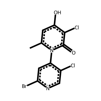 Cc1cc(O)c(Cl)c(=O)n1-c1cc(Br)ncc1Cl